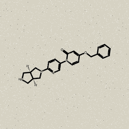 O=c1cc(OCc2ccccc2)ccn1-c1ccc(N2C[C@H]3CNC[C@H]3C2)nc1